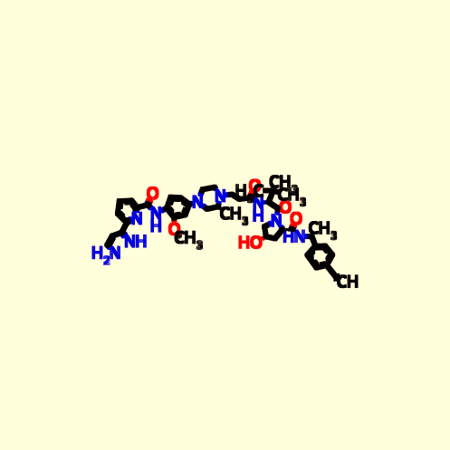 C#Cc1ccc([C@H](C)NC(=O)[C@@H]2C[C@@H](O)CN2C(=O)[C@@H](NC(=O)CCN2CCN(c3ccc(NC(=O)c4cccc(C(=N)/C=C\N)n4)c(OC)c3)C[C@H]2C)C(C)(C)C)cc1